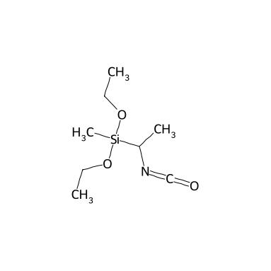 CCO[Si](C)(OCC)C(C)N=C=O